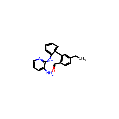 CCc1ccc(C=O)c(-c2ccccc2Nc2ncccc2N)c1